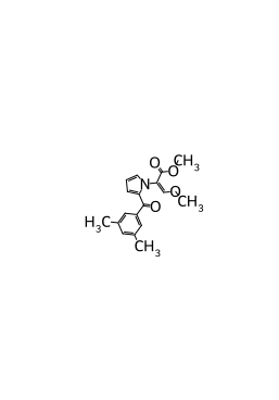 CO/C=C(\C(=O)OC)n1cccc1C(=O)c1cc(C)cc(C)c1